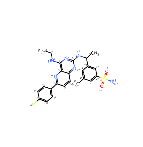 CC(Nc1nc(NCC(F)(F)F)c2nc(-c3ccc(F)cc3)ccc2n1)c1cc(C(F)(F)F)cc(S(N)(=O)=O)c1